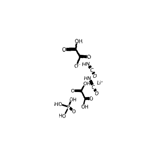 N=C=O.N=C=O.O=C(O)C(=O)O.O=C([O-])C(=O)O.O=P(O)(O)O.[Li+]